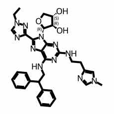 CCn1cnc(-c2nc3c(NCC(c4ccccc4)c4ccccc4)nc(NCCc4cn(C)cn4)nc3n2[C@@H]2OC[C@H](O)[C@H]2O)n1